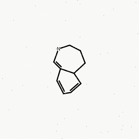 C1=CC2=C[N]CCCC2C=C1